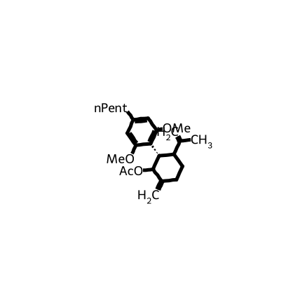 C=C(C)C1CCC(=C)C(OC(C)=O)[C@@H]1c1c(OC)cc(CCCCC)cc1OC